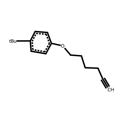 C#CCCCCOc1ccc(C(C)(C)C)cc1